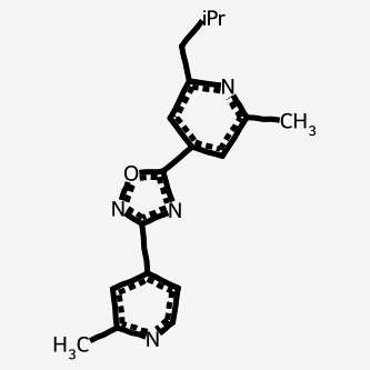 Cc1cc(-c2noc(-c3cc(C)nc(CC(C)C)c3)n2)ccn1